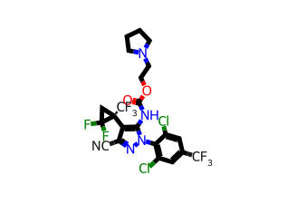 N#Cc1nn(-c2c(Cl)cc(C(F)(F)F)cc2Cl)c(NC(=O)OCCN2CCCC2)c1[C@]1(C(F)(F)F)CC1(F)F